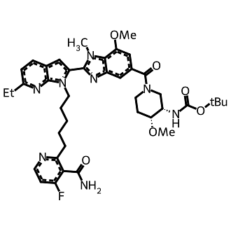 CCc1ccc2cc(-c3nc4cc(C(=O)N5CC[C@@H](OC)[C@@H](NC(=O)OC(C)(C)C)C5)cc(OC)c4n3C)n(CCCCCc3nccc(F)c3C(N)=O)c2n1